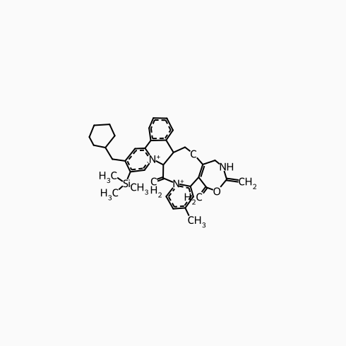 C=C1NCC2=C(C(=C)O1)c1cc(C)cc[n+]1C(=C)C1C(CC2)c2ccccc2-c2cc(CC3CCCCC3)c([Si](C)(C)C)c[n+]21